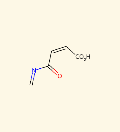 C=NC(=O)/C=C\C(=O)O